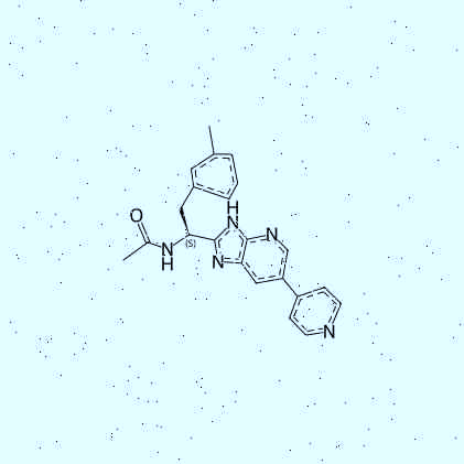 CC(=O)N[C@@H](Cc1cccc(C)c1)c1nc2cc(-c3ccncc3)cnc2[nH]1